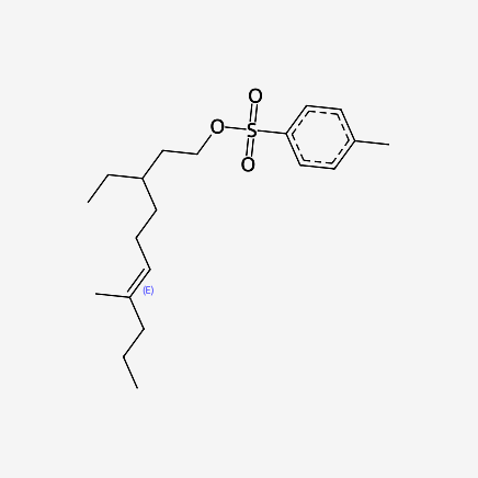 CCC/C(C)=C/CCC(CC)CCOS(=O)(=O)c1ccc(C)cc1